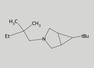 CCC(C)(C)CN1CC2C(C1)C2C(C)(C)C